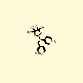 C/C=C\C(=C/C)CN(B1OC(C)(C)C(C)(C)O1)C(/C=C\C)=C/C